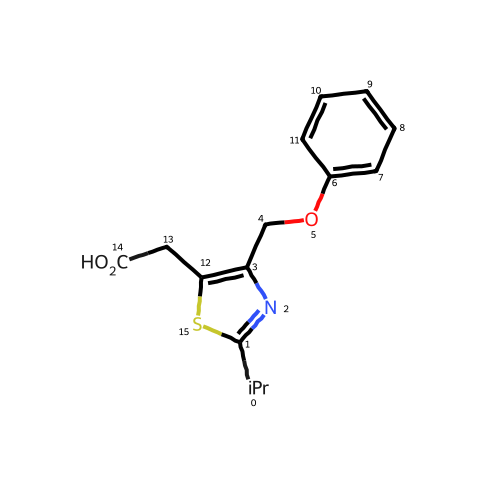 CC(C)c1nc(COc2ccccc2)c(CC(=O)O)s1